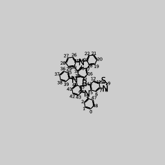 c1ccc(N2c3cc4ncsc4cc3B3c4cc5c6ccccc6n6c7ccccc7c(c4N(c4ccccc4)c4cccc2c43)c56)cc1